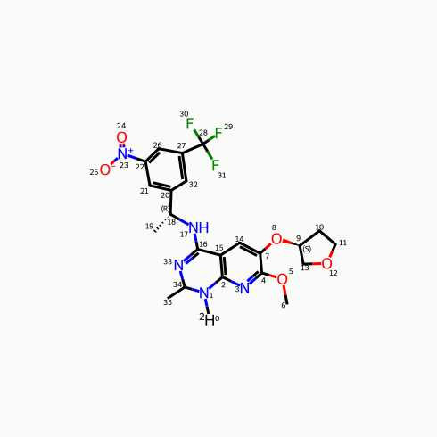 [2H]N1c2nc(OC)c(O[C@H]3CCOC3)cc2C(N[C@H](C)c2cc([N+](=O)[O-])cc(C(F)(F)F)c2)=NC1C